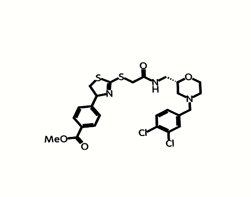 COC(=O)c1ccc(C2CSC(SCC(=O)NC[C@H]3CN(Cc4ccc(Cl)c(Cl)c4)CCO3)=N2)cc1